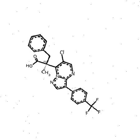 C[C@@](Cc1ccccc1)(C(=O)O)c1c(Cl)cnc2c(-c3ccc(C(F)(F)F)cc3)cnn12